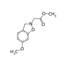 COC(=O)CN1Cc2ccc(OC)cc2O1